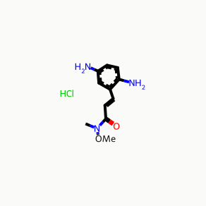 CON(C)C(=O)C=Cc1cc(N)ccc1N.Cl